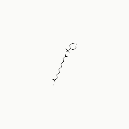 COC(=O)CCCCCCCCC(=O)OC(C)(C)C1CCNCC1